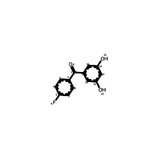 O=C(c1ccc(F)cc1)c1cc(O)cc(O)c1